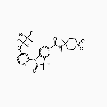 CC1(NC(=O)c2ccc3c(c2)C(C)(C)C(=O)N3c2cc(OC(F)(F)C(F)(F)Br)ccn2)CCS(=O)(=O)CC1